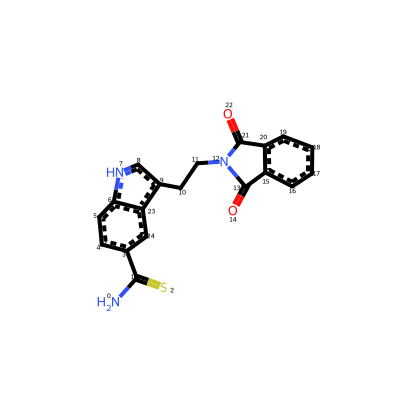 NC(=S)c1ccc2[nH]cc(CCN3C(=O)c4ccccc4C3=O)c2c1